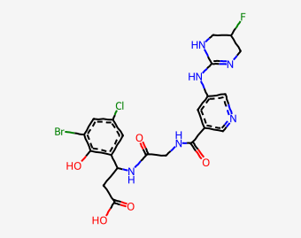 O=C(O)CC(NC(=O)CNC(=O)c1cncc(NC2=NCC(F)CN2)c1)c1cc(Cl)cc(Br)c1O